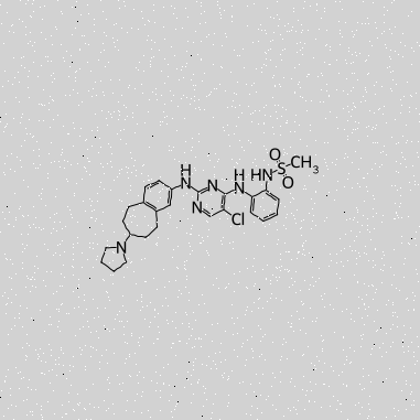 CS(=O)(=O)Nc1ccccc1Nc1nc(Nc2ccc3c(c2)CCC(N2CCCC2)CC3)ncc1Cl